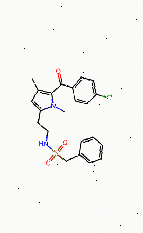 Cc1cc(CCNS(=O)(=O)Cc2ccccc2)n(C)c1C(=O)c1ccc(Cl)cc1